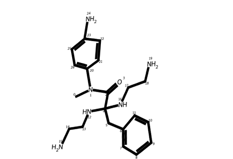 CN(C(=O)C(Cc1ccccc1)(NCCN)NCCN)c1ccc(N)cc1